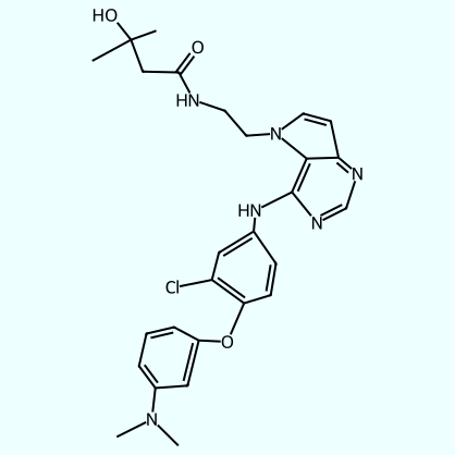 CN(C)c1cccc(Oc2ccc(Nc3ncnc4ccn(CCNC(=O)CC(C)(C)O)c34)cc2Cl)c1